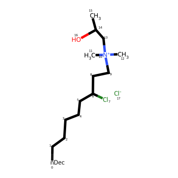 CCCCCCCCCCCCCCCC(Cl)CC[N+](C)(C)CC(C)O.[Cl-]